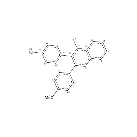 COc1ccc(-c2cc3ccccc3c(C)c2-c2ccc(O)cc2)cc1